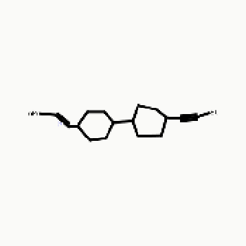 CCC#CC1CCC(C2CCC(/C=C/CCC)CC2)CC1